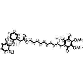 COC1=C(OC)C(=O)C(CCCCCCCCCCOC(=O)Cc2ccccc2Nc2c(Cl)cccc2Cl)=C(C)C1=O